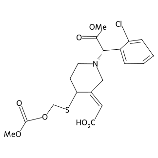 COC(=O)OCSC1CCN([C@H](C(=O)OC)c2ccccc2Cl)C/C1=C/C(=O)O